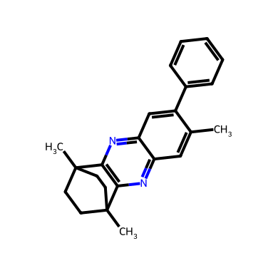 Cc1cc2nc3c(nc2cc1-c1ccccc1)C1(C)CCC3(C)CC1